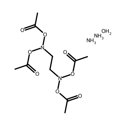 CC(=O)ON(CCN(OC(C)=O)OC(C)=O)OC(C)=O.N.N.O